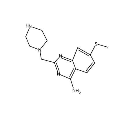 CSc1ccc2c(N)nc(CN3CCNCC3)nc2c1